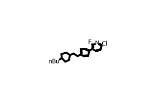 CCCCC1CCC(CCc2ccc(-c3ccc(Cl)nc3F)cc2)CC1